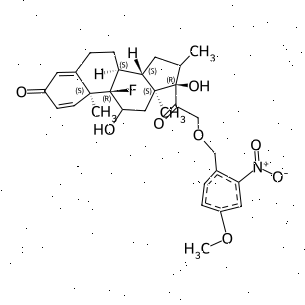 COc1ccc(COCC(=O)[C@@]2(O)C(C)C[C@H]3[C@@H]4CCC5=CC(=O)C=C[C@]5(C)[C@@]4(F)C(O)C[C@@]32C)c([N+](=O)[O-])c1